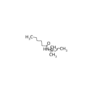 CCCCCC(=O)N[N+](C)(C)CCC